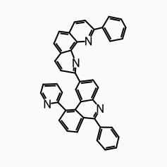 c1ccc(-c2ccc3ccc4ccc(-c5ccc6nc(-c7ccccc7)c7cccc(-c8ccccn8)c7c6c5)nc4c3n2)cc1